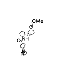 COCCOC1CCCN(CC2CCCCC2NC(=O)c2ccc(-n3cccn3)cc2)C1